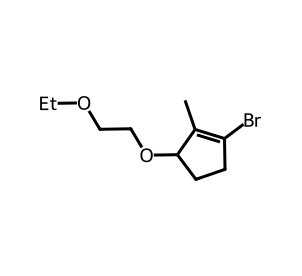 CCOCCOC1CCC(Br)=C1C